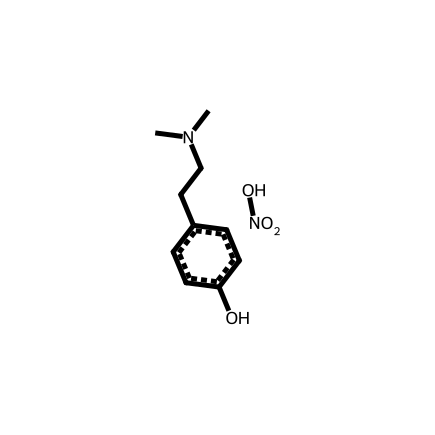 CN(C)CCc1ccc(O)cc1.O=[N+]([O-])O